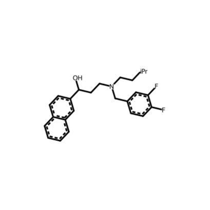 CC(C)CCN(CCC(O)c1ccc2ccccc2c1)Cc1ccc(F)c(F)c1